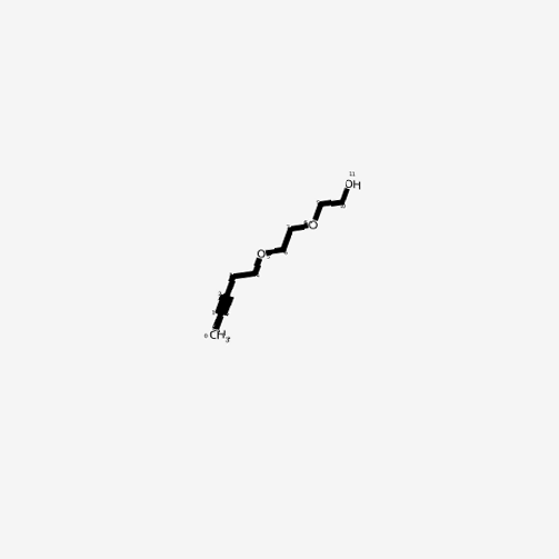 CC#CCCOCCOCCO